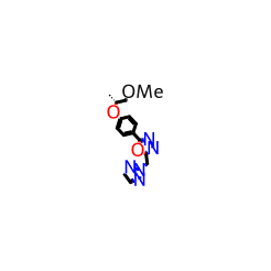 COC[C@@H](C)Oc1ccc(-c2nnc(Cn3nccn3)o2)cc1